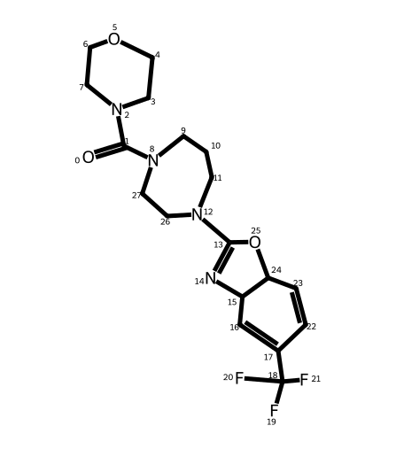 O=C(N1CCOCC1)N1CCCN(C2=NC3C=C(C(F)(F)F)C=CC3O2)CC1